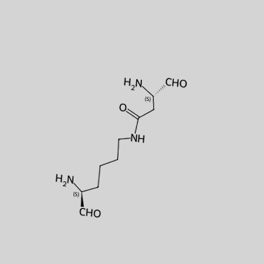 N[C@H](C=O)CCCCNC(=O)C[C@H](N)C=O